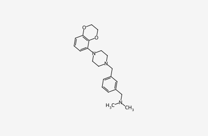 CN(C)Cc1cccc(CN2CCN(c3cccc4c3OCCO4)CC2)c1